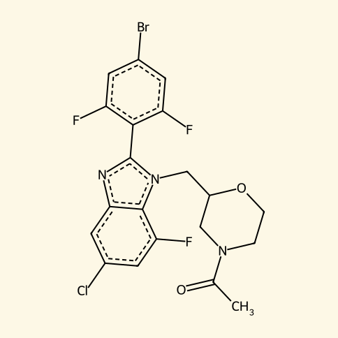 CC(=O)N1CCOC(Cn2c(-c3c(F)cc(Br)cc3F)nc3cc(Cl)cc(F)c32)C1